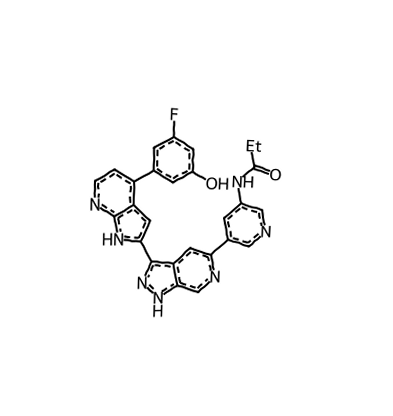 CCC(=O)Nc1cncc(-c2cc3c(-c4cc5c(-c6cc(O)cc(F)c6)ccnc5[nH]4)n[nH]c3cn2)c1